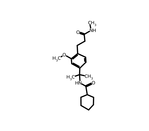 CNC(=O)CCc1ccc(C(C)(C)NC(=O)C2CCCCC2)cc1OC